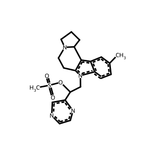 Cc1ccc2c(c1)c1c(n2CC(OS(C)(=O)=O)c2cnccn2)CCN2CCCC12